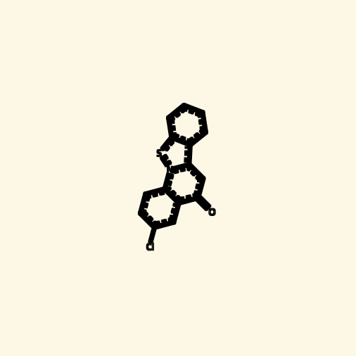 O=c1cc2c3ccccc3sn2c2ccc(Cl)cc12